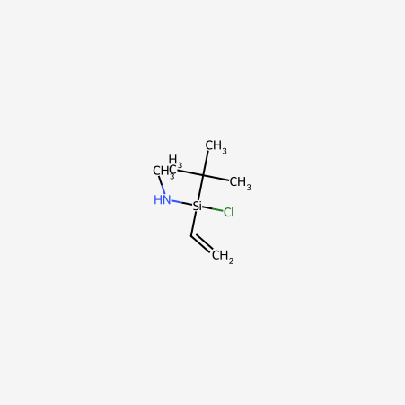 C=C[Si](Cl)(NC)C(C)(C)C